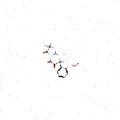 CCOc1ccccc1C1(N)C(=O)C(=O)N2C(=S)C(C)(C)NC2[S+]1[O-]